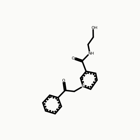 O=C(C[n+]1cccc(C(=O)NCCO)c1)c1ccccc1